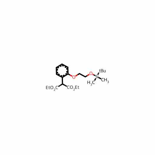 CCOC(=O)C(C(=O)OCC)c1ccccc1OCCO[Si](C)(C)C(C)(C)C